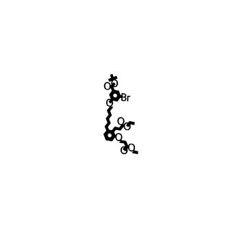 CCOC(=O)CCOc1cccc(CCCCCCOc2cc(Br)cc(C(=O)OC(C)(C)C)c2)c1CCC(=O)OCC